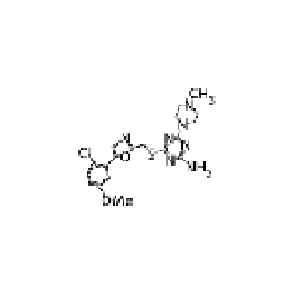 COc1ccc(Cl)c(-c2cnc(CSc3nc(N)nc(N4CCN(C)CC4)n3)o2)c1